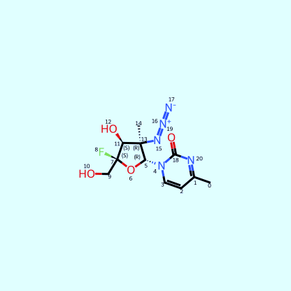 Cc1ccn([C@@H]2O[C@](F)(CO)[C@@H](O)[C@@]2(C)N=[N+]=[N-])c(=O)n1